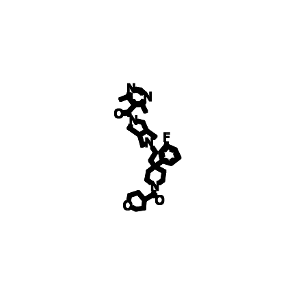 Cc1ncnc(C)c1C(=O)N1CC2CN(CCC3(c4cccc(F)c4)CCN(C(=O)C4CCOCC4)CC3)CC2C1